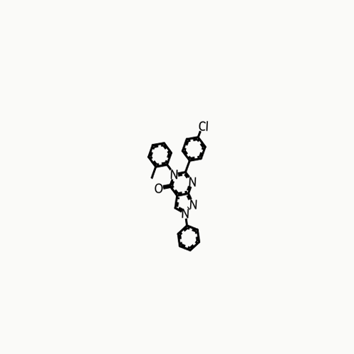 Cc1ccccc1-n1c(-c2ccc(Cl)cc2)nc2nn(-c3ccccc3)cc2c1=O